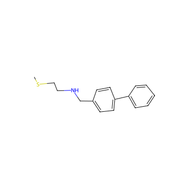 CSCCNCc1ccc(-c2ccccc2)cc1